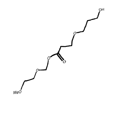 COCCOCOC(=O)CCOCCCO